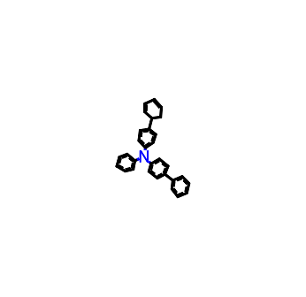 C1=CCC(c2ccc(N(c3ccccc3)c3ccc(-c4ccccc4)cc3)cc2)C=C1